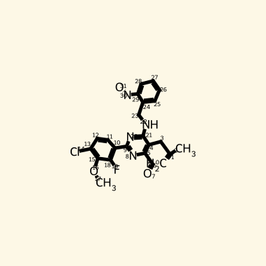 C=C(C)Cc1c(C=O)nc(-c2ccc(Cl)c(OC)c2F)nc1NCc1ccccc1N=O